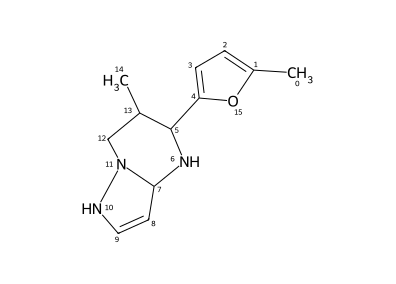 Cc1ccc(C2NC3C=CNN3CC2C)o1